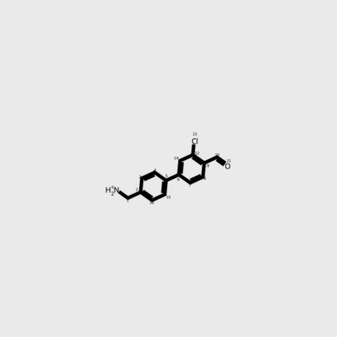 NCc1ccc(-c2ccc(C=O)c(Cl)c2)cc1